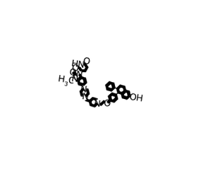 Cn1c(=O)n(C2CCC(=O)NC2=O)c2ccc(N3CCN(CC4CCN(CCOc5ccc([C@@H]6c7ccc(O)cc7CC[C@@H]6c6ccccc6)cc5)CC4)CC3)cc21